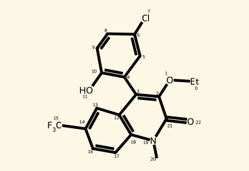 CCOc1c(-c2cc(Cl)ccc2O)c2cc(C(F)(F)F)ccc2n(C)c1=O